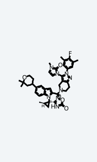 Cc1cc(-n2nc3c(c2-n2ccn(C)c2=O)CN(C(=O)c2cc4cc(C5CCOC(C)(C)C5)ccc4n2[C@@]2(c4noc(=O)[nH]4)C[C@H]2C)CC3)cc(C)c1F